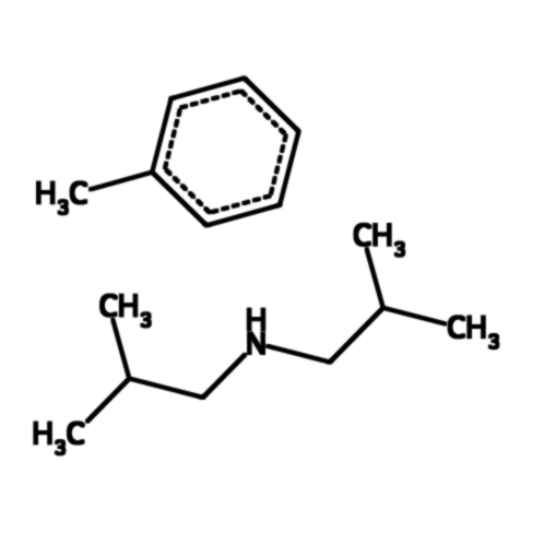 CC(C)CNCC(C)C.Cc1ccccc1